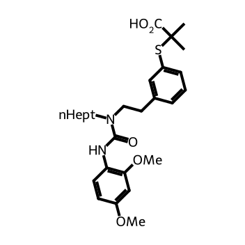 CCCCCCCN(CCc1cccc(SC(C)(C)C(=O)O)c1)C(=O)Nc1ccc(OC)cc1OC